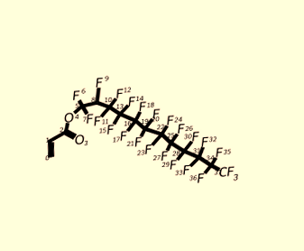 C=CC(=O)OC(F)(F)C(F)C(F)(F)C(F)(F)C(F)(F)C(F)(F)C(F)(F)C(F)(F)C(F)(F)C(F)(F)C(F)(F)C(F)(F)F